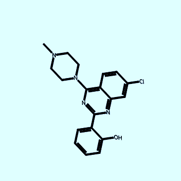 CN1CCN(c2nc(-c3ccccc3O)nc3cc(Cl)ccc23)CC1